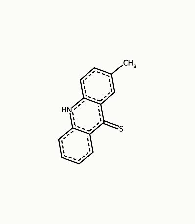 Cc1ccc2[nH]c3ccccc3c(=S)c2c1